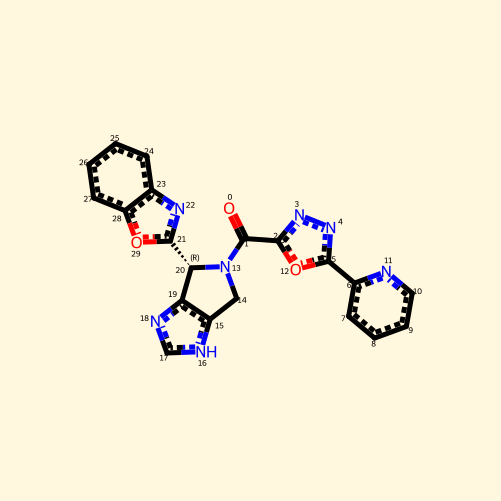 O=C(c1nnc(-c2ccccn2)o1)N1Cc2[nH]cnc2[C@@H]1c1nc2ccccc2o1